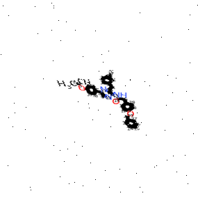 CC(C)Oc1ccc(-c2cnc(NC(=O)Cc3ccc(OCc4ccccc4)cc3)c(CC3CCCC3)n2)cc1